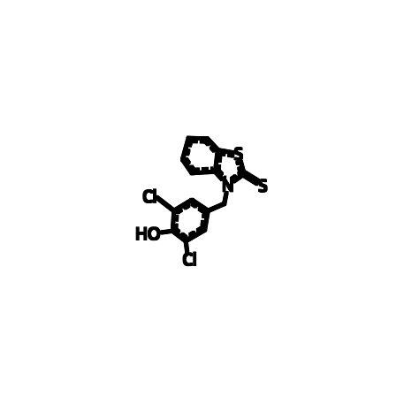 Oc1c(Cl)cc(Cn2c(=S)sc3ccccc32)cc1Cl